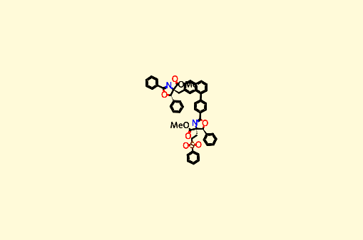 COC(=O)[C@@]1(CCS(=O)(=O)c2ccccc2)N=C(c2ccc(-c3cccc4ccc(C[C@]5(C(=O)OC)N=C(c6ccccc6)O[C@H]5c5ccccc5)cc34)cc2)O[C@H]1c1ccccc1